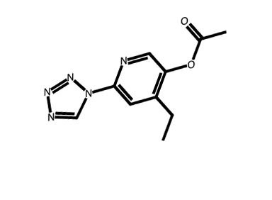 CCc1cc(-n2cnnn2)ncc1OC(C)=O